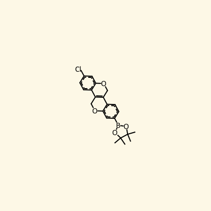 CC1(C)OB(c2ccc3c(c2)OCC2=C3COc3cc(Cl)ccc32)OC1(C)C